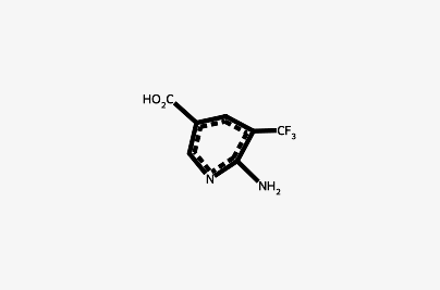 Nc1ncc(C(=O)O)cc1C(F)(F)F